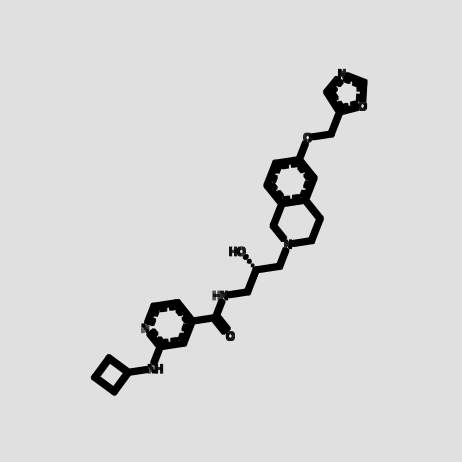 O=C(NC[C@H](O)CN1CCc2cc(OCc3cnco3)ccc2C1)c1ccnc(NC2CCC2)c1